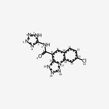 O=C(Nc1nnn[nH]1)c1cc2ccc(Cl)cc2n2nnnc12